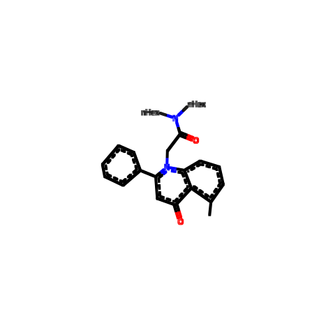 CCCCCCN(CCCCCC)C(=O)Cn1c(-c2ccccc2)cc(=O)c2c(C)cccc21